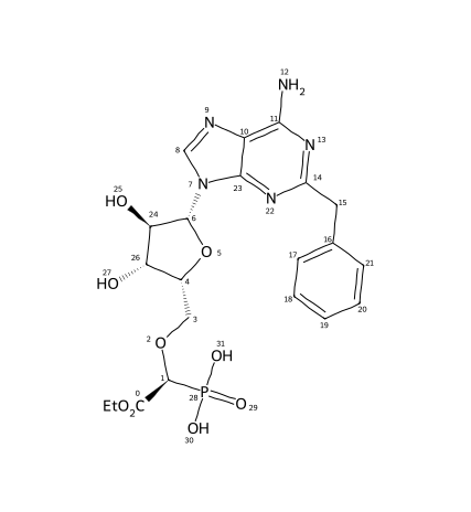 CCOC(=O)[C@@H](OC[C@H]1O[C@@H](n2cnc3c(N)nc(Cc4ccccc4)nc32)[C@H](O)[C@H]1O)P(=O)(O)O